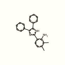 Cc1ccc(-c2nc(-c3ccccc3)c(-c3ccccc3)[nH]2)c(N)c1C